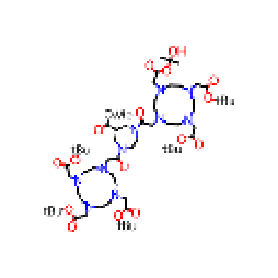 COC(=O)C1CN(C(=O)CN2CCN(CC(=O)OC(C)(C)C)CCN(CC(=O)OC(C)(C)C)CCN(CC(=O)OC(C)(C)C)CC2)CCN(C(=O)CN2CCN(CC(=O)OC(C)(C)C)CCN(CC(=O)OC(C)(C)C)CCN(CC(=O)OC(C)(C)O)CC2)C1